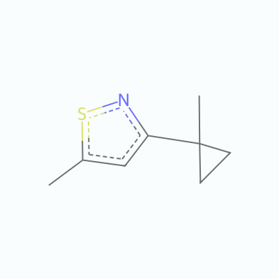 Cc1cc(C2(C)CC2)ns1